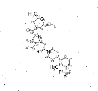 Cc1c(C2CCN(C(=O)Cn3nc(C(=O)N4C[C@@H](C)O[C@@H](C)C4)c4c3CCC4)CC2)cccc1C(F)(F)F